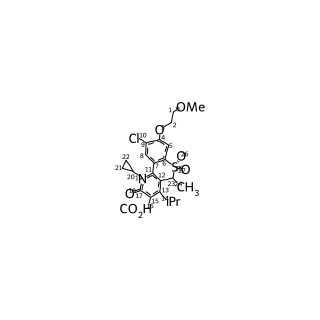 COCCOc1cc2c(cc1Cl)-c1c(c(C(C)C)c(C(=O)O)c(=O)n1C1CC1)C(C)S2(=O)=O